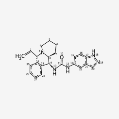 C=CCN1CCCC[C@H]1[C@@H](NC(=O)Nc1ccc2[nH]ncc2c1)c1ccccc1